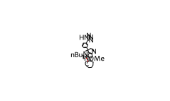 CCCCc1cn(C2CCCCCCC2OC)c(=O)n1CC1(c2cccc(-c3nnn[nH]3)c2)C=CN=CC1